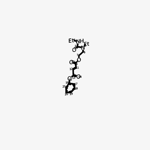 CCNC(=O)N(CC)CCOC(=O)/C=C/C(=O)Oc1ccccc1